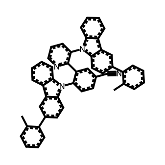 Cc1ccccc1-c1ccc2c(c1)c1ccccc1n2-c1ccc(C#N)cc1-c1ncccc1-n1c2ccccc2c2cc(-c3ccccc3C)ccc21